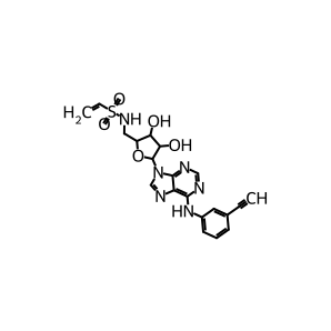 C#Cc1cccc(Nc2ncnc3c2ncn3C2OC(CNS(=O)(=O)C=C)C(O)C2O)c1